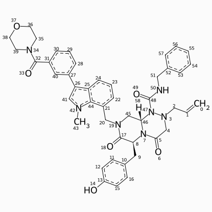 C=CCN1CC(=O)N2[C@@H](Cc3ccc(O)cc3)C(=O)N(Cc3cccc4c(-c5cccc(C(=O)N6CCOCC6)c5)cn(C)c34)C[C@@H]2N1C(=O)NCc1ccccc1